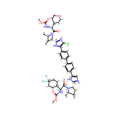 COC(=O)N[C@H](C(=O)N1[C@H](C)C(C)[C@H]1c1nc(Cl)c(-c2ccc(-c3ccc(-c4cnc([C@@H]5CC(C)[C@@H](C)N5C(=O)[C@@H](NC(=O)OC)C5CCC(F)(F)CC5)[nH]4)cc3)cc2)[nH]1)C1CCOCC1